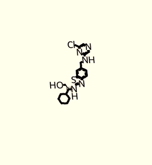 OC[C@@H](Nc1nc2ccc(CNc3cncc(Cl)n3)cc2s1)C1CCCCC1